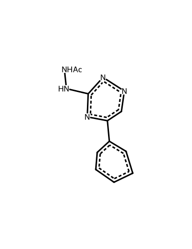 CC(=O)NNc1nncc(-c2ccccc2)n1